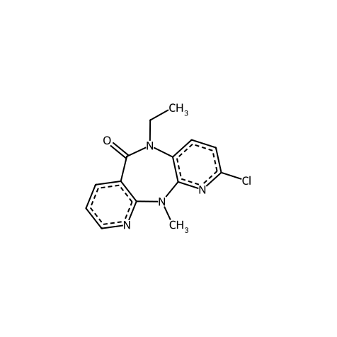 CCN1C(=O)c2cccnc2N(C)c2nc(Cl)ccc21